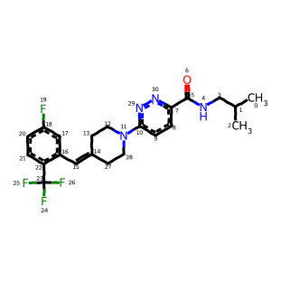 CC(C)CNC(=O)c1ccc(N2CCC(=Cc3cc(F)ccc3C(F)(F)F)CC2)nn1